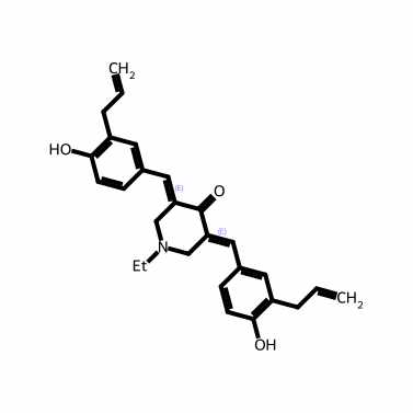 C=CCc1cc(/C=C2\CN(CC)C/C(=C\c3ccc(O)c(CC=C)c3)C2=O)ccc1O